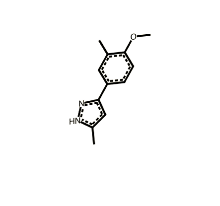 COc1ccc(-c2cc(C)[nH]n2)cc1C